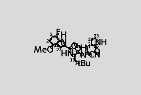 COc1ccc(F)c2[nH]c(C(=O)NC(CC(C)(C)C)C(=O)NC(C#N)C[C@@H]3CCNC3=O)cc12